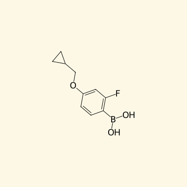 OB(O)c1ccc(OCC2CC2)cc1F